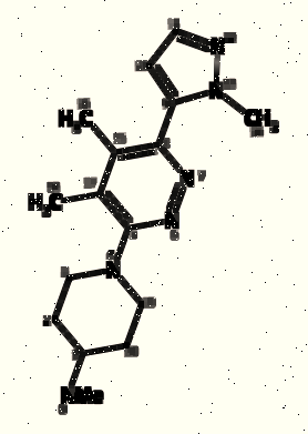 CNC1CCN(c2nnc(-c3ccnn3C)c(C)c2C)CC1